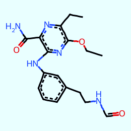 CCOc1nc(Nc2cccc(CCNC=O)c2)c(C(N)=O)nc1CC